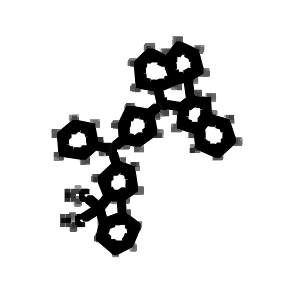 CC1(C)c2ccccc2-c2ccc(N(c3ccccc3)c3ccc(N4c5cc6ccccc6cc5-c5cccc6cccc4c56)cc3)cc21